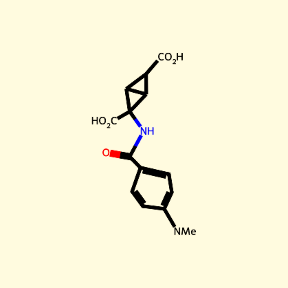 CNc1ccc(C(=O)NC2(C(=O)O)C3C(C(=O)O)C32)cc1